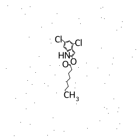 CCCCCCCC(=O)Oc1cc2c(Cl)cc(Cl)cc2[nH]1